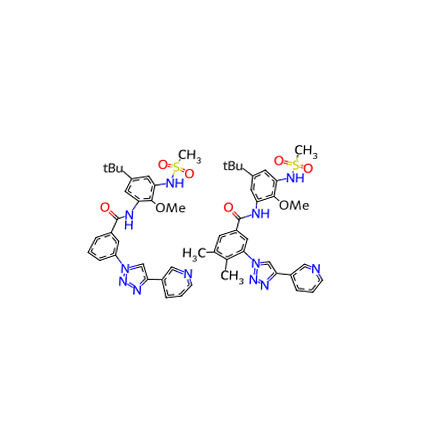 COc1c(NC(=O)c2cc(C)c(C)c(-n3cc(-c4cccnc4)nn3)c2)cc(C(C)(C)C)cc1NS(C)(=O)=O.COc1c(NC(=O)c2cccc(-n3cc(-c4cccnc4)nn3)c2)cc(C(C)(C)C)cc1NS(C)(=O)=O